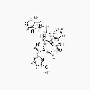 CCOc1cncc(-c2cnc(C(=O)N[C@@H](CN3C[C@H]4COC[C@H]4C3)c3cc(NS(=O)(=O)C4CC4)ccn3)s2)n1